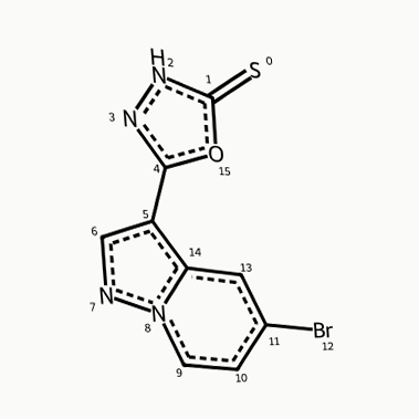 S=c1[nH]nc(-c2cnn3ccc(Br)cc23)o1